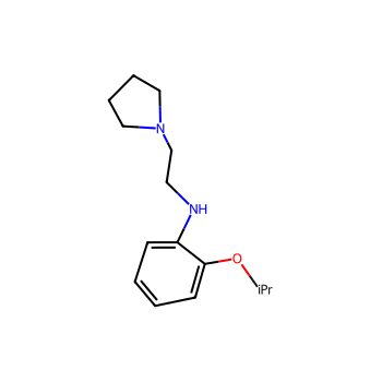 CC(C)Oc1ccccc1NCCN1CCCC1